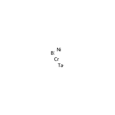 [B].[Cr].[Ni].[Ta]